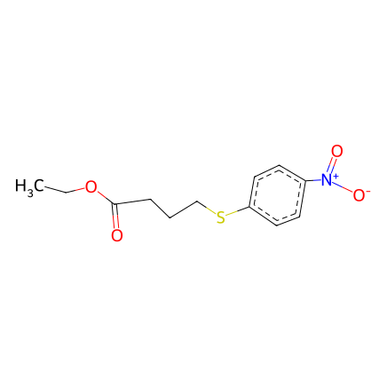 CCOC(=O)CCCSc1ccc([N+](=O)[O-])cc1